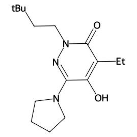 CCc1c(O)c(N2CCCC2)nn(CCC(C)(C)C)c1=O